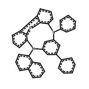 c1ccc(-c2cc3cc(c2)N(c2cccc4ccccc24)c2cccc4c2sc2c(cccc24)N3c2ccccc2)cc1